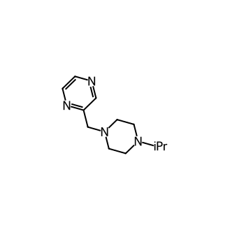 CC(C)N1CCN(Cc2cnccn2)CC1